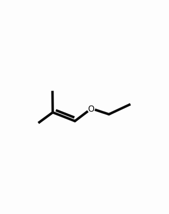 CCOC=C(C)C